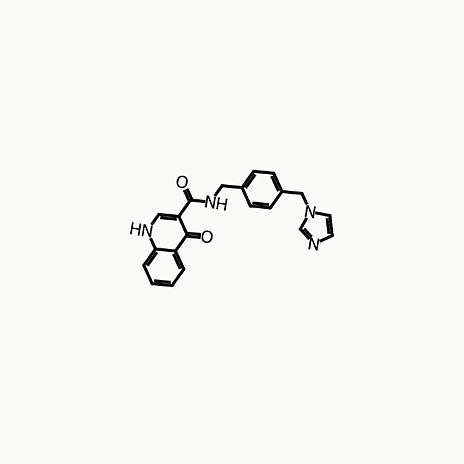 O=C(NCc1ccc(Cn2ccnc2)cc1)c1c[nH]c2ccccc2c1=O